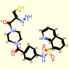 N=N/C(=C\S)C(=O)N1CCN(C(=O)c2ccc(NS(=O)(=O)c3cccc4cccnc34)cc2)CC1